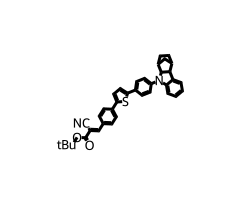 CC(C)(C)OC(=O)/C(C#N)=C/c1ccc(-c2ccc(-c3ccc(N4c5ccccc5C5C6CCC(C6)C54)cc3)s2)cc1